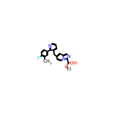 CCO[C@H](O)c1ncc2cc(Cc3cccnc3-c3ccc(F)c(C)c3)ccn12